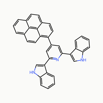 c1cc2ccc3ccc(-c4cc(-c5c[nH]c6ccccc56)nc(-c5c[nH]c6ccccc56)c4)c4ccc(c1)c2c34